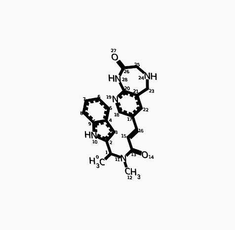 CC(c1cc2ccccc2[nH]1)N(C)C(=O)C=Cc1cnc2c(c1)CNCC(=O)N2